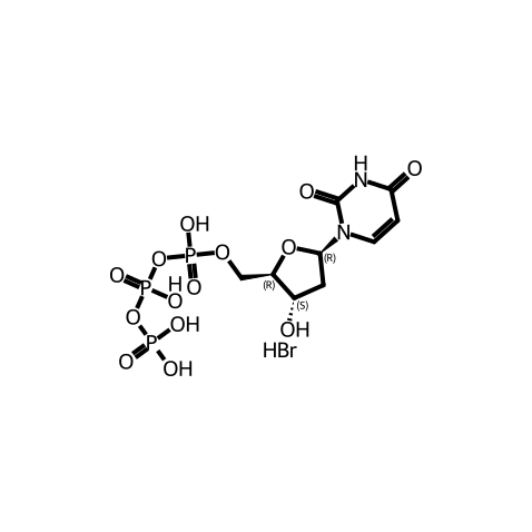 Br.O=c1ccn([C@H]2C[C@H](O)[C@@H](COP(=O)(O)OP(=O)(O)OP(=O)(O)O)O2)c(=O)[nH]1